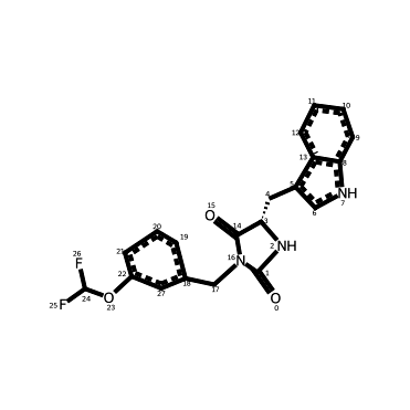 O=C1N[C@@H](Cc2c[nH]c3ccccc23)C(=O)N1Cc1cccc(OC(F)F)c1